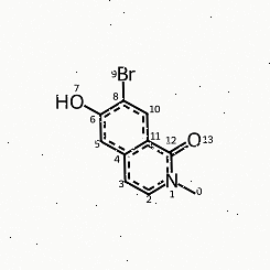 Cn1ccc2cc(O)c(Br)cc2c1=O